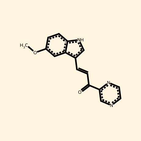 COc1ccc2[nH]cc(/C=C/C(=O)c3cnccn3)c2c1